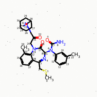 CSCC1=N[C@H](N(C(N)=O)c2cccc(C)c2)C(=O)N(CC(=O)N2CC3CCC(CC3)C2)c2c(C)cccc21